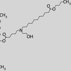 CCCCCCCCC(CCCCCCCC)OC(=O)CCCCN(CCO)CCCCCCCCCCC(=O)OCCCC